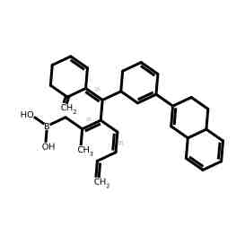 C=C\C=C/C(=C(\C)CB(O)O)C(=C1/C=CCCC1=C)/C1C=C(C2=CC3C=CC=CC3CC2)C=CC1